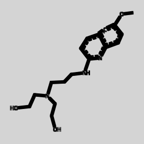 COc1ccc2nc(NCCCN(CCO)CCO)ccc2c1